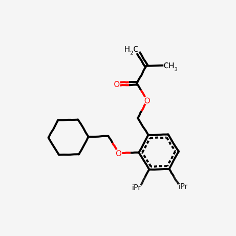 C=C(C)C(=O)OCc1ccc(C(C)C)c(C(C)C)c1OCC1CCCCC1